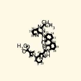 COC(=O)C1CN([C@@H]2CCCn3nc(C(=O)Nc4cccc(-c5cccc(Nc6nc(C(C)C)nc7cccnc67)c5Cl)c4Cl)cc32)C1